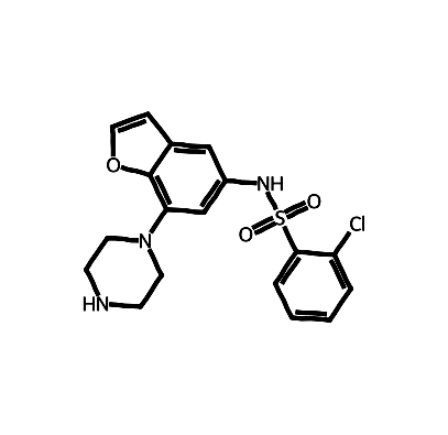 O=S(=O)(Nc1cc(N2CCNCC2)c2occc2c1)c1ccccc1Cl